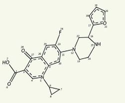 O=C(O)c1cn(C2CC2)c2cc(N3CCNC(c4ccco4)C3)c(F)cc2c1=O